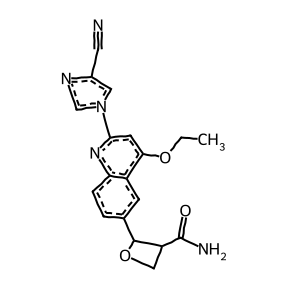 CCOc1cc(-n2cnc(C#N)c2)nc2ccc(C3OCC3C(N)=O)cc12